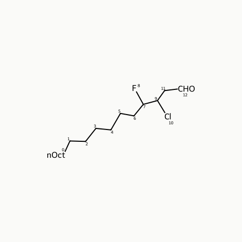 CCCCCCCCCCCCCCC(F)C(Cl)CC=O